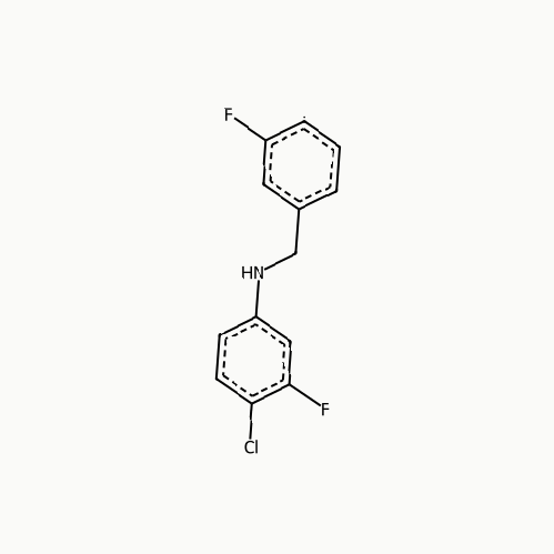 Fc1[c]ccc(CNc2ccc(Cl)c(F)c2)c1